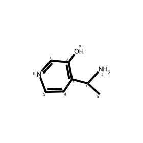 CC(N)c1ccncc1O